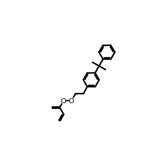 C=CC(=C)OOCCc1ccc(C(C)(C)c2ccccc2)cc1